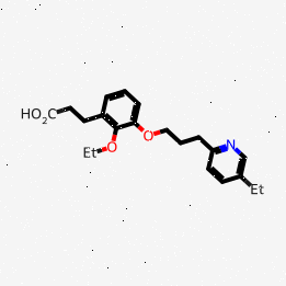 CCOc1c(CCC(=O)O)cccc1OCCCc1ccc(CC)cn1